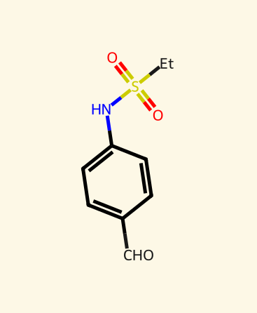 CCS(=O)(=O)Nc1ccc(C=O)cc1